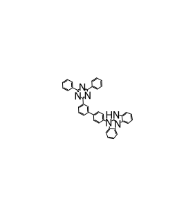 c1ccc(-c2nc(-c3ccccc3)nc(-c3cccc(-c4ccc(N5c6ccccc6N6c7ccccc7NC56)cc4)c3)n2)cc1